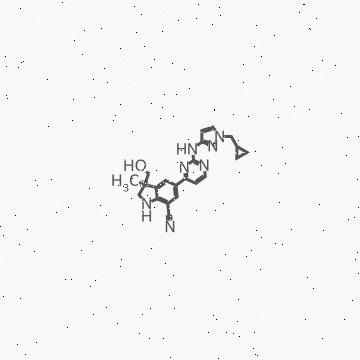 C[C@]1(CO)CNc2c(C#N)cc(-c3ccnc(Nc4ccn(CC5CC5)n4)n3)cc21